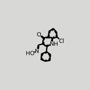 O=c1c(/C=N/O)c(-c2ccccc2)[nH]c2c(Cl)cccc12